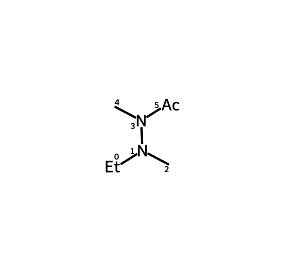 CCN(C)N(C)C(C)=O